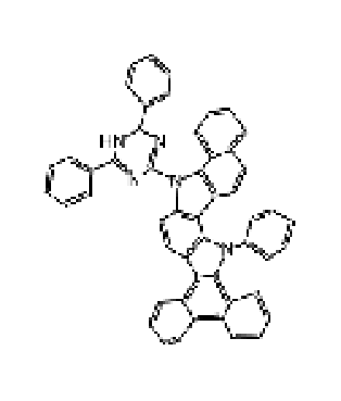 c1ccc(C2=NC(n3c4ccc5c6c7ccccc7c7ccccc7c6n(-c6ccccc6)c5c4c4ccc5ccccc5c43)=NC(c3ccccc3)N2)cc1